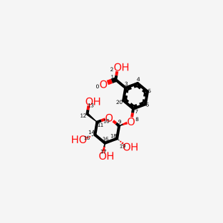 O=C(O)c1cccc(O[C@@H]2O[C@H](CO)[C@@H](O)[C@H](O)[C@H]2O)c1